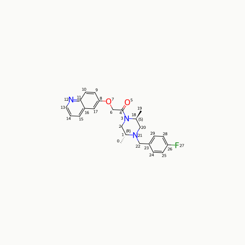 C[C@@H]1CN(C(=O)COc2ccc3ncccc3c2)[C@@H](C)CN1Cc1ccc(F)cc1